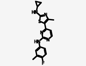 Cc1cc(Nc2nccc(-c3sc(NC4CC4)nc3C)n2)ccc1F